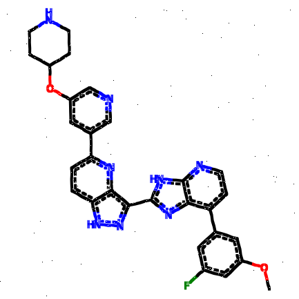 COc1cc(F)cc(-c2ccnc3[nH]c(-c4n[nH]c5ccc(-c6cncc(OC7CCNCC7)c6)nc45)nc23)c1